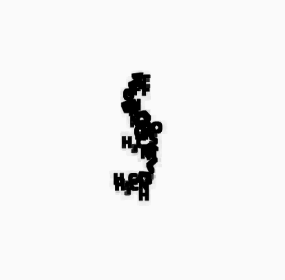 Cc1nn(CCC[C@@H]2CNC(C)(C)C2)cc1SNC(=O)c1ccc(-n2ccc(OCCC3(C(F)(F)F)CC3)n2)nc1Cl